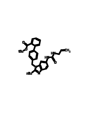 C=CCNC(=O)Nc1ccc2nc(CCCC)n(Cc3ccc(-c4ccccc4C(=O)OC(C)(C)C)cc3)c2c1